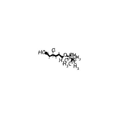 C#CC[C@H](Cl)CCCO[Si](C)(C)C(C)(C)C